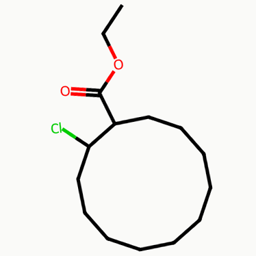 CCOC(=O)C1CCCCCCCCCCC1Cl